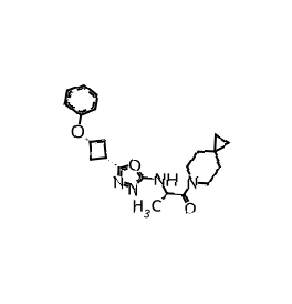 C[C@@H](Nc1nnc([C@H]2C[C@@H](Oc3ccccc3)C2)o1)C(=O)N1CCC2(CC1)CC2